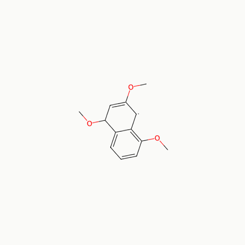 COC1=CC(OC)c2cccc(OC)c2[CH]1